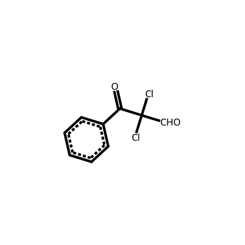 O=CC(Cl)(Cl)C(=O)c1ccccc1